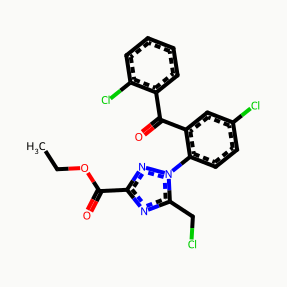 CCOC(=O)c1nc(CCl)n(-c2ccc(Cl)cc2C(=O)c2ccccc2Cl)n1